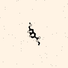 CCOC(=O)c1cnc2oc(COC)cc2c1